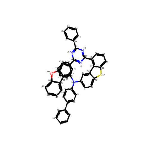 c1ccc(-c2ccc(N(c3ccc4sc5cccc(-c6nc(-c7ccccc7)nc(-c7ccccc7)n6)c5c4c3)c3cccc4oc5ccccc5c34)cc2)cc1